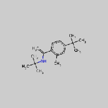 C=C(NC(C)(C)C)c1ccc(C(C)(C)C)cc1C